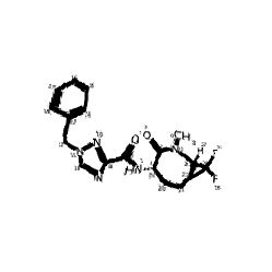 CN1C(=O)[C@@H](NC(=O)c2ncn(Cc3ccccc3)n2)CCC2[C@H]1C2(F)F